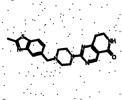 Cc1nc2cc(CN3CCN(c4ncc5c(n4)CCNC5=O)CC3)ccc2s1